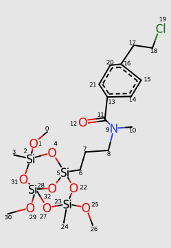 CO[Si]1(C)O[Si]2(CCCN(C)C(=O)c3ccc(CCCl)cc3)O[Si](C)(OC)O[Si](OC)(O1)O2